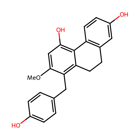 COc1cc(O)c2c(c1Cc1ccc(O)cc1)CCc1cc(O)ccc1-2